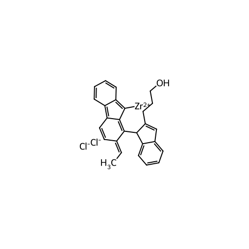 CC=c1ccc2c(c1C1C(CCCO)=Cc3ccccc31)[C]([Zr+2])=c1ccccc1=2.[Cl-].[Cl-]